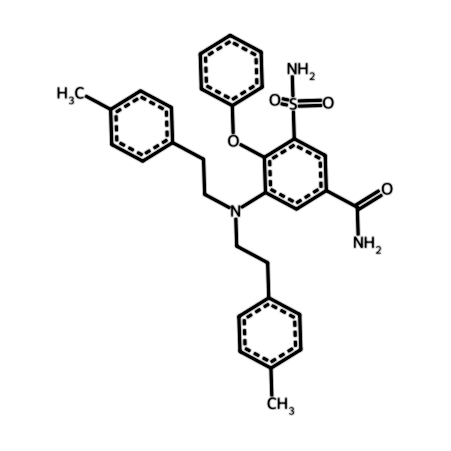 Cc1ccc(CCN(CCc2ccc(C)cc2)c2cc(C(N)=O)cc(S(N)(=O)=O)c2Oc2ccccc2)cc1